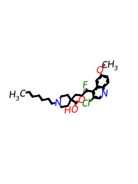 CCCCCCCN1CCC(CC[C@@H](F)c2c(Cl)cnc3ccc(OC)cc23)(C(=O)O)CC1